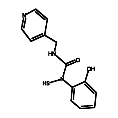 O=C(NCc1ccncc1)N(S)c1ccccc1O